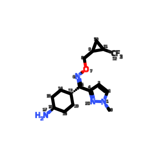 Cn1ccc(/C(=N\OCC2CC2C(F)(F)F)[C@H]2CC[C@H](N)CC2)n1